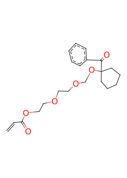 C=CC(=O)OCCOCCOCOC1(C(=O)c2ccccc2)CCCCC1